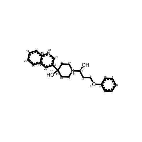 O[C@@H](CCOc1ccccc1)N1CCC(O)(c2cnc3ccccc3c2)CC1